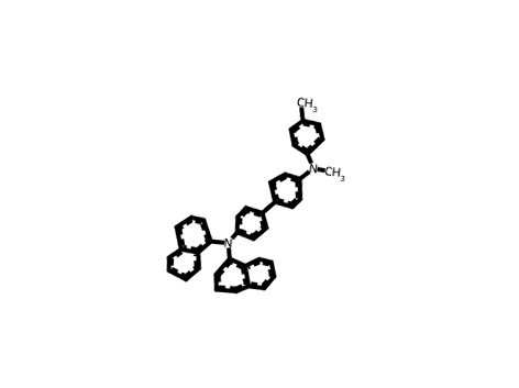 Cc1ccc(N(C)c2ccc(-c3ccc(N(c4cccc5ccccc45)c4cccc5ccccc45)cc3)cc2)cc1